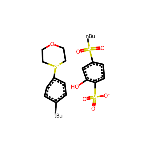 CC(C)(C)c1ccc([S+]2CCOCC2)cc1.CCCCS(=O)(=O)c1ccc(S(=O)(=O)[O-])c(O)c1